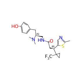 Cc1ncc([C@H](CC(=O)NC[C@H](Cc2ccc(O)cc2)N(C)C)C2(C(F)(F)F)CC2)s1